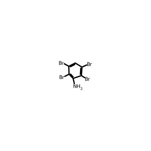 Nc1c(Br)c(Br)cc(Br)c1Br